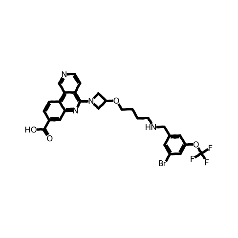 O=C(O)c1ccc2c(c1)nc(N1CC(OCCCCNCc3cc(Br)cc(OC(F)(F)F)c3)C1)c1ccncc12